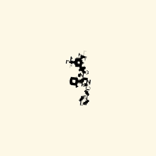 Cc1ccccc1-c1nc(OCCN2CCOCC2)ncc1N(C)C(=O)C(C)(C)c1cc(C(F)(F)F)cc(C(F)(F)F)c1